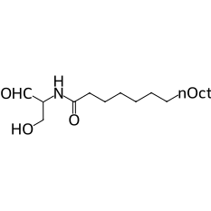 CCCCCCCCCCCCCCC(=O)NC([C]=O)CO